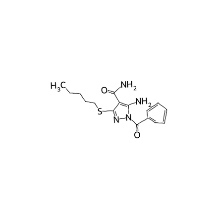 CCCCCSc1nn(C(=O)c2ccccc2)c(N)c1C(N)=O